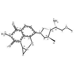 COC[C@@H](N)[C@H]1CN(c2ccc3c(=O)n(N)c(=O)n(C4CC4)c3c2OC)C[C@@H]1C